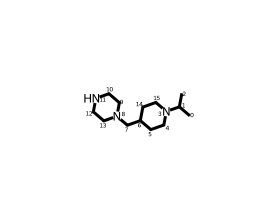 CC(C)N1CCC(CN2CCNCC2)CC1